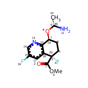 COC(=O)[C@]1(F)CC[C@H](O[C@H](C)N)c2ncc(F)cc21